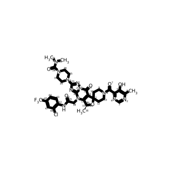 Cc1ncnc(C(=O)N2CCC3(CC2)O[C@H](C)c2c3c(=O)n3nc(N4CCN(C(=O)N(C)C)CC4)nc3n2CC(=O)Nc2ccc(C(F)(F)F)cc2Cl)c1O